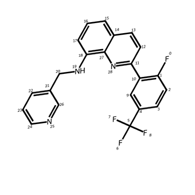 Fc1ccc(C(F)(F)F)cc1-c1ccc2cccc(NCc3cccnc3)c2n1